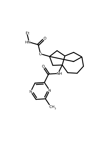 CCNC(=O)OC12CC3CCCC(NC(=O)c4cncc(C)n4)(C1)C(C3)C2